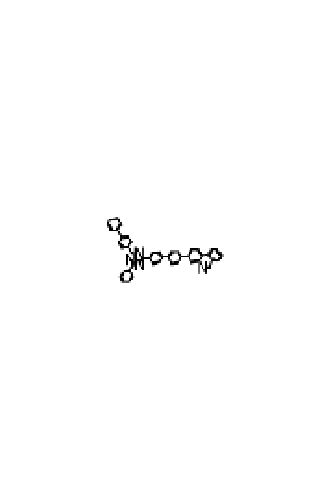 c1ccc(-c2ccc(-c3nc(-c4ccccc4)nc(-c4ccc(-c5ccc(-c6ccc7c(c6)ncc6ccccc67)cc5)cc4)n3)cc2)cc1